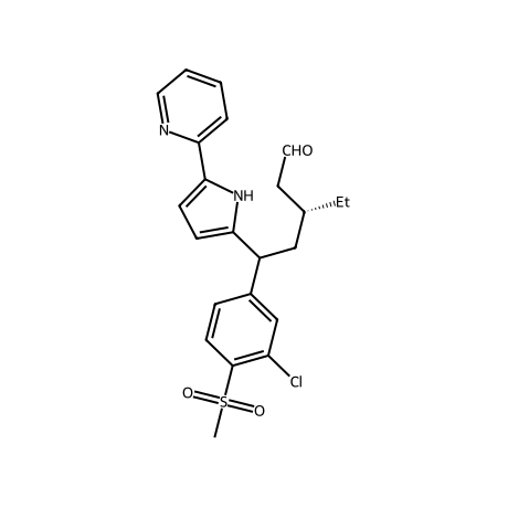 CC[C@@H](CC=O)CC(c1ccc(S(C)(=O)=O)c(Cl)c1)c1ccc(-c2ccccn2)[nH]1